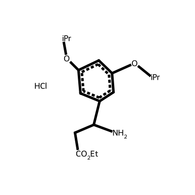 CCOC(=O)CC(N)c1cc(OC(C)C)cc(OC(C)C)c1.Cl